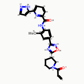 C=CC(=O)N1CCC[C@H](c2nc(-c3ccc(NC(=O)c4cccc(-c5ccn[nH]5)n4)c(OC)c3)no2)C1